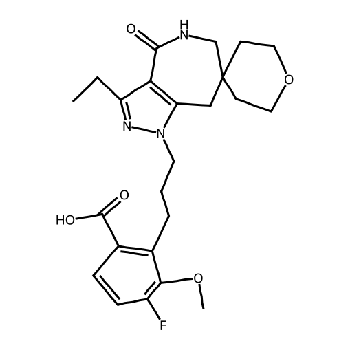 CCc1nn(CCCc2c(C(=O)O)ccc(F)c2OC)c2c1C(=O)NCC1(CCOCC1)C2